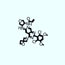 C=CC(=O)N[C@H]1COC[C@H]1Nc1cc2c(N3CC4(CCO4)C3)nc(-c3c(Cl)c(OC)cc(OC)c3Cl)nc2cn1